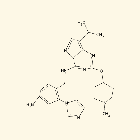 CC(C)c1cnn2c(NCc3ccc(N)cc3-n3ccnc3)nc(OC3CCN(C)CC3)nc12